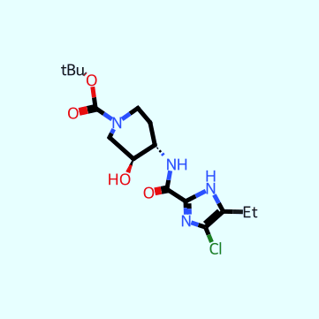 CCc1[nH]c(C(=O)N[C@H]2CCN(C(=O)OC(C)(C)C)C[C@@H]2O)nc1Cl